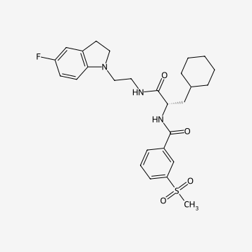 CS(=O)(=O)c1cccc(C(=O)N[C@@H](CC2CCCCC2)C(=O)NCCN2CCc3cc(F)ccc32)c1